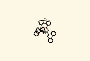 c1ccc(C2N=C(c3cc4ccccc4c4ccccc34)N=C(c3cccc4oc5cccc(-c6cccc7c6oc6ccccc67)c5c34)N2)cc1